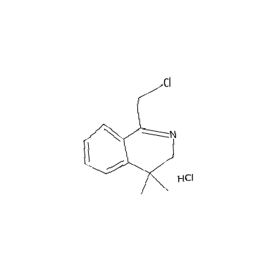 CC1(C)CN=C(CCl)c2ccccc21.Cl